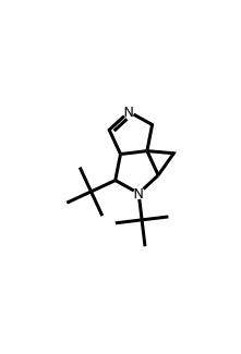 CC(C)(C)C1C2C=NCC23CC3N1C(C)(C)C